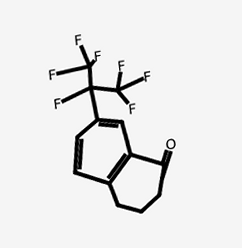 O=C1CCCc2ccc(C(F)(C(F)(F)F)C(F)(F)F)cc21